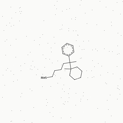 CSCCCCC(C)(c1ccccc1)C1(C)CCCCC1